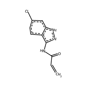 C=CC(=O)Nc1n[nH]c2cc(Cl)ccc12